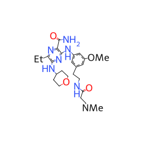 CCc1nc(C(N)=O)c(Nc2cc(CCNC(=O)CCNC)cc(OC)c2)nc1NC1CCOCC1